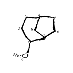 COC1CCC2CCC1C2